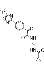 O=C(NCCNC(=O)C1CC1)C(=O)c1ccc(-c2noc(C(F)(F)F)n2)cc1